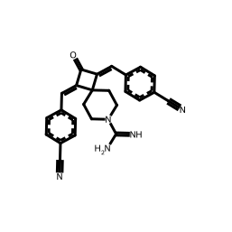 N#Cc1ccc(/C=C2/C(=O)/C(=C/c3ccc(C#N)cc3)C23CCN(C(=N)N)CC3)cc1